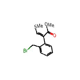 COC(=O)/C(=C\SC)c1ccccc1CBr